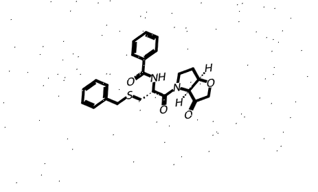 O=C(N[C@@H](CSCc1ccccc1)C(=O)N1CC[C@H]2OCC(=O)[C@H]21)c1ccccc1